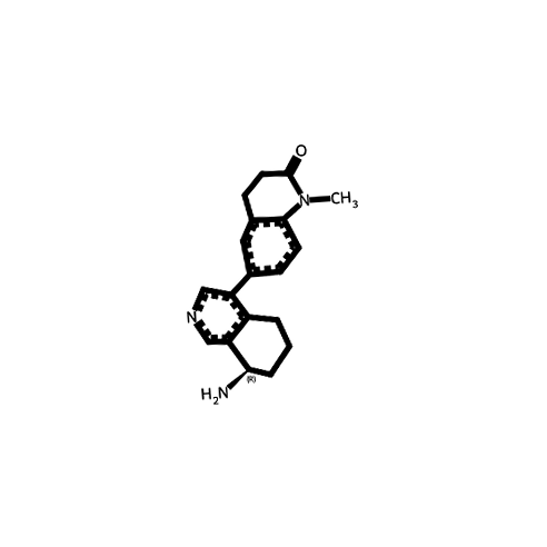 CN1C(=O)CCc2cc(-c3cncc4c3CCC[C@H]4N)ccc21